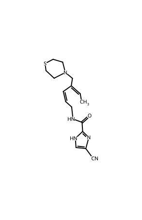 C/C=C(\C=C/CNC(=O)c1nc(C#N)c[nH]1)CN1CCSCC1